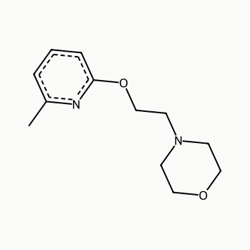 Cc1cccc(OCCN2CCOCC2)n1